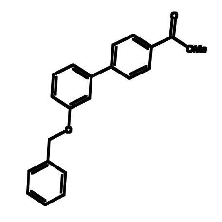 COC(=O)c1ccc(-c2cccc(OCc3ccccc3)c2)cc1